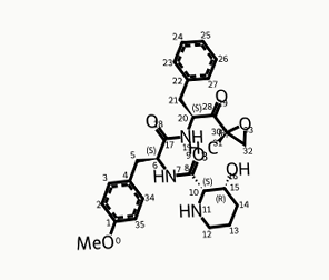 COc1ccc(C[C@H](NC(=O)[C@H]2NCCC[C@H]2O)C(=O)N[C@@H](Cc2ccccc2)C(=O)[C@@]2(C)CO2)cc1